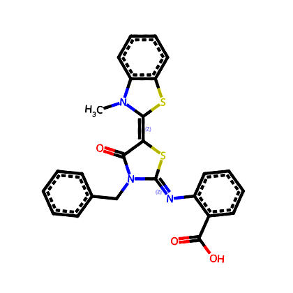 CN1/C(=C2/S/C(=N\c3ccccc3C(=O)O)N(Cc3ccccc3)C2=O)Sc2ccccc21